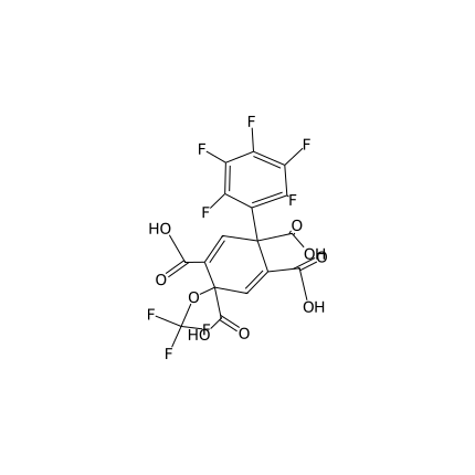 O=C(O)C1=CC(C(=O)O)(c2c(F)c(F)c(F)c(F)c2F)C(C(=O)O)=CC1(OC(F)(F)F)C(=O)O